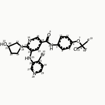 O=C(Nc1ccc(OC(F)(F)Cl)cc1)c1cnc(N2CC[C@@H](O)C2)c(Nc2cnccc2Br)c1